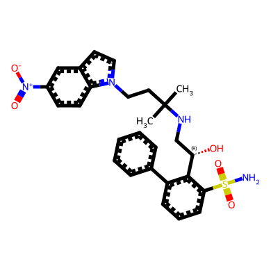 CC(C)(CCn1ccc2cc([N+](=O)[O-])ccc21)NC[C@H](O)c1c(-c2ccccc2)cccc1S(N)(=O)=O